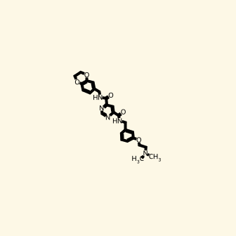 CN(C)CCOc1cccc(CNC(=O)c2cc(C(=O)NCc3ccc4c(c3)OCCO4)ncn2)c1